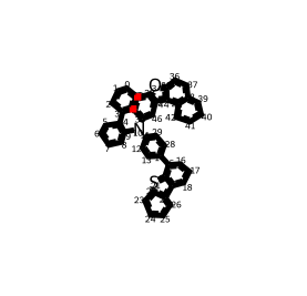 c1ccc(-c2ccccc2N(c2ccc(-c3cccc4c3sc3ccccc34)cc2)c2ccc3oc4ccc5ccccc5c4c3c2)cc1